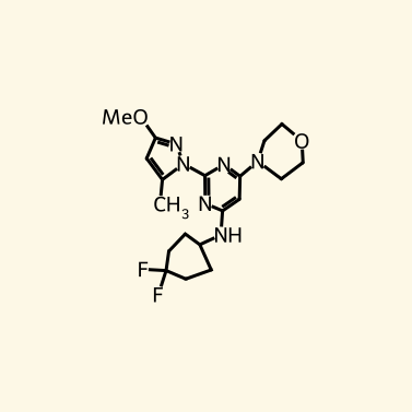 COc1cc(C)n(-c2nc(NC3CCC(F)(F)CC3)cc(N3CCOCC3)n2)n1